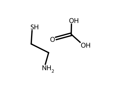 NCCS.O=C(O)O